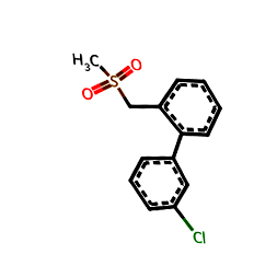 CS(=O)(=O)Cc1ccccc1-c1cccc(Cl)c1